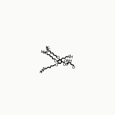 CNCCCc1c(C(=O)ONC(=O)CCC=O)cc(OCCCCCCN=[N+]=[N-])c(OCCCCCCN=[N+]=[N-])c1OCCCCCCN=[N+]=[N-]